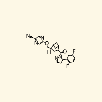 N#Cc1cnc(OC[C@@H]2CC(C(=O)N3N=CCC3c3cc(F)ccc3F)C3CC2C3)cn1